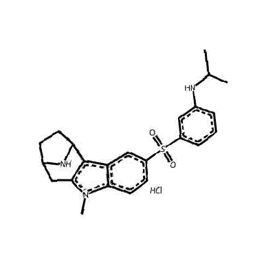 CC(C)Nc1cccc(S(=O)(=O)c2ccc3c(c2)c2c(n3C)CC3CCC2N3)c1.Cl